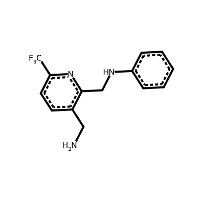 NCc1ccc(C(F)(F)F)nc1CNc1ccccc1